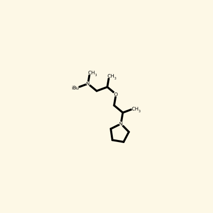 CCC(C)N(C)CC(C)OCC(C)N1CCCC1